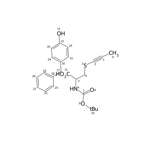 CC#CSCC(NC(=O)OC(C)(C)C)C(=O)O.Oc1ccc(Cc2ccccc2)cc1